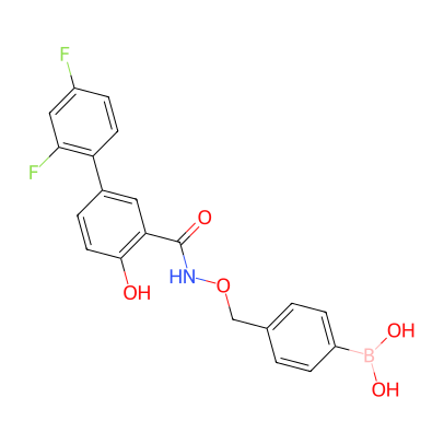 O=C(NOCc1ccc(B(O)O)cc1)c1cc(-c2ccc(F)cc2F)ccc1O